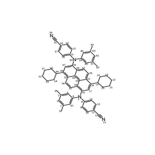 Cc1cc(C)cc(N(c2ccc(C#N)cc2)c2cc(C3CCCCC3)c3ccc4c(N(c5ccc(C#N)cc5)c5cc(C)cc(C)c5)cc(C5CCCCC5)c5ccc2c3c54)c1